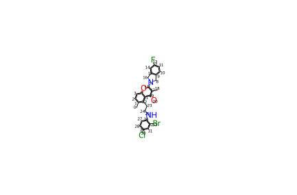 Cc1ccc2oc(N3Cc4ccc(F)cc4C3)c(C)c(=O)c2c1CCNc1ccc(Cl)cc1Br